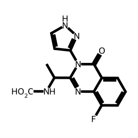 CC(NC(=O)O)c1nc2c(F)cccc2c(=O)n1-c1cc[nH]n1